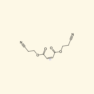 N#CCCOC(=O)/C=C\C(=O)OCCC#N